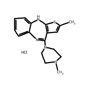 Cc1cc2c(s1)Nc1ccccc1N=C2N1CCN(C)CC1.Cl